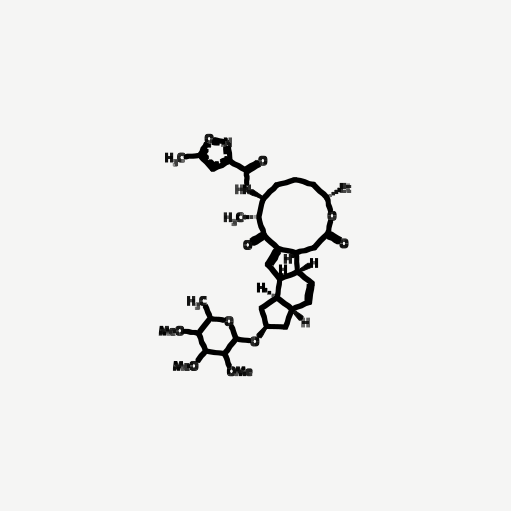 CC[C@H]1CCC[C@H](NC(=O)c2cc(C)on2)[C@@H](C)C(=O)C2=C[C@@H]3[C@@H](C=C[C@@H]4C[C@@H](OC5OC(C)C(OC)C(OC)C5OC)C[C@@H]34)[C@@H]2CC(=O)O1